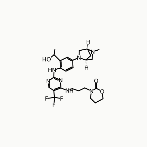 CC(O)c1cc(N2C[C@@H]3C[C@H]2CN3C)ccc1Nc1ncc(C(F)(F)F)c(NCCCN2CCCOC2=O)n1